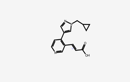 O=C(O)/C=C/c1cnccc1-c1cnn(CC2CC2)c1